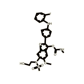 CNC(=O)Oc1c(-c2ccc(Nc3ccccc3F)cc2)oc2cc(N(CCO)S(C)(=O)=O)c(OC)cc12